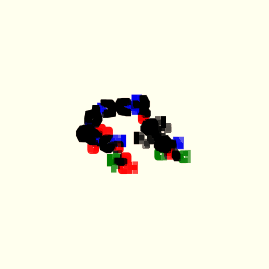 CC(C)(c1ccc(OCc2ccnc(N3CCC(C4CCN(CC5CCN(c6cccc7c6C(=O)N(C6CCC(=O)NC6=O)C7=O)CC5)CC4)CC3)n2)cc1)c1cc(Cl)c(OCCCl)c(C#N)c1.O=C(O)C(F)(F)F